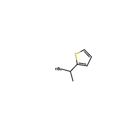 CCCCC(C)c1cccs1